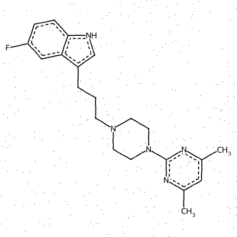 Cc1cc(C)nc(N2CCN(CCCc3c[nH]c4ccc(F)cc34)CC2)n1